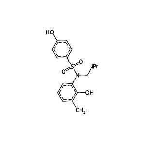 [CH2]c1cccc(N(CC(C)C)S(=O)(=O)c2ccc(O)cc2)c1O